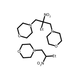 CCC(CN1CCOCC1)(CN1CCOCC1)[N+](=O)[O-].CCC(CN1CCOCC1)[N+](=O)[O-]